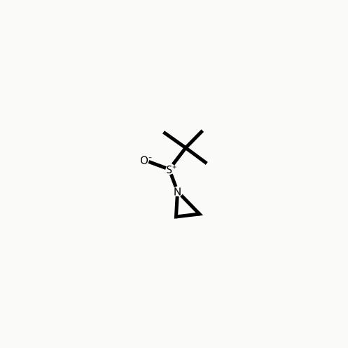 CC(C)(C)[S+]([O-])N1CC1